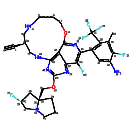 C#C[C@H]1CNCCCOc2nc(-c3cc(N)c(F)c(C)c3C(F)(F)F)c(F)c3nc(OC[C@@]45CCCN4C[C@H](F)C5)nc(c23)NC1